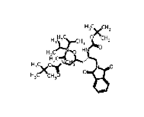 CC(C)[Si](OC(CNC(=O)OC(C)(C)C)C[C@@H](CN1C(=O)c2ccccc2C1=O)NC(=O)OC(C)(C)C)(C(C)C)C(C)C